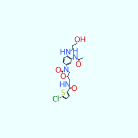 CC(=O)Nc1cc(N2CC(CNC(=O)c3ccc(Cl)s3)OC2=O)ccc1NCCCO